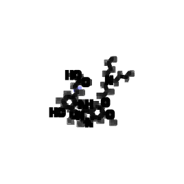 CCCCN(CCCC)CCCOc1cc2c(Nc3c(/C=C/C(=O)O)ccc(O)c3OC)ncnc2cc1OC